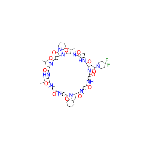 CC[C@H](C)C1NC(=O)C(CC(C)C)N(C)C(=O)CC(C(=O)N2CCCCC2)N(C)C(=O)C(C(C)C)N(C)C(=O)C2(CCC2)NC(=O)C(CC(=O)N2CCC(F)(F)CC2)N(C)C(=O)CNC(=O)CN(C)C(=O)C(CC2CCCCC2)N(C)C(=O)CN(C)C(=O)CN(C)C1=O